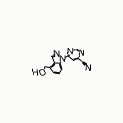 N#Cc1cc(-n2ncc3c(CO)cccc32)ncn1